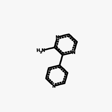 Nc1nccnc1-c1ccncc1